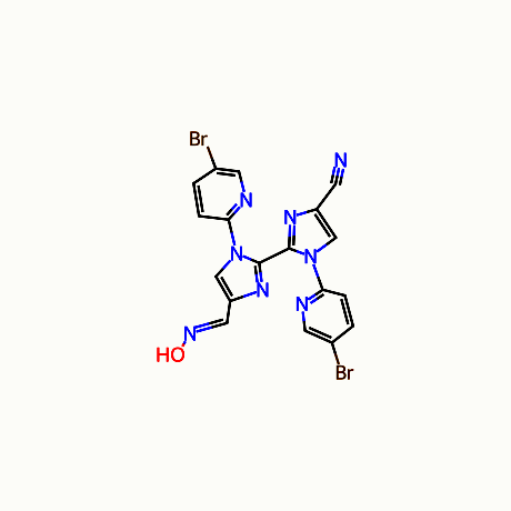 N#Cc1cn(-c2ccc(Br)cn2)c(-c2nc(C=NO)cn2-c2ccc(Br)cn2)n1